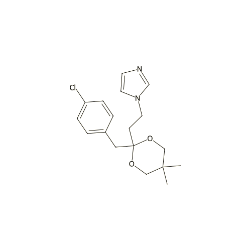 CC1(C)COC(CCn2ccnc2)(Cc2ccc(Cl)cc2)OC1